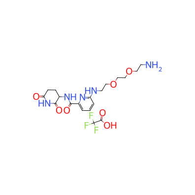 NCCOCCOCCNc1cccc(C(=O)NC2CCC(=O)NC2=O)n1.O=C(O)C(F)(F)F